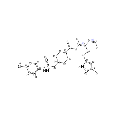 C=C(C/C(C)=C(/C=C\C)SCc1cc(C)on1)N1CCN(CC(=O)Nc2ccc(Cl)cn2)CC1